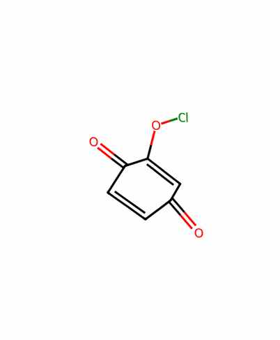 O=C1C=CC(=O)C(OCl)=C1